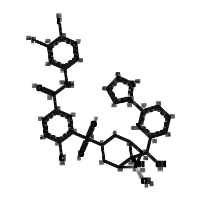 C[C@H]1CC2CC(S(=O)(=O)c3cc(C(=O)Nc4ccc(F)c(F)c4)ccc3Cl)CC1[C@@]2(O)C(O)c1cccc(-n2cccn2)n1